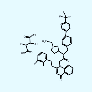 CCN1CCC(N(Cc2ccc(-c3ccc(C(F)(F)F)cc3)cc2)C(=O)Cn2c(SCc3cccc(F)c3F)cc(=O)c3ccccc32)C1.O=C(O)C(O)C(O)C(=O)O